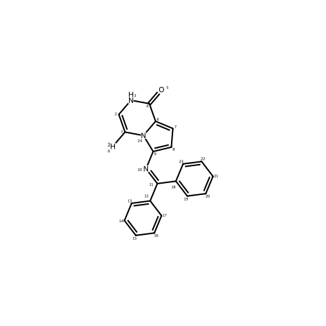 [2H]c1c[nH]c(=O)c2ccc(N=C(c3ccccc3)c3ccccc3)n12